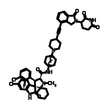 CN1[C@@H](C(=O)NC23CCC(N4CCC(C#Cc5cccc6c5CN(C5CCC(=O)NC5=O)C6=O)CC4)(CC2)CC3)[C@H](c2cccc(Cl)c2F)[C@]2(C(=O)Nc3cc(Cl)ccc32)C12CCCCC2